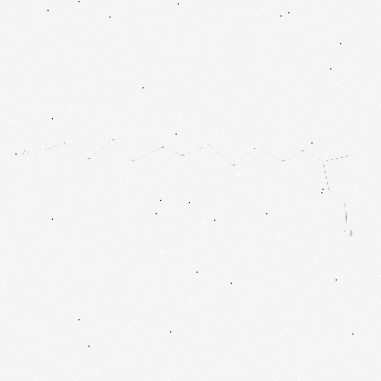 CCCCCCCCCCCCCCCCCCCCC(C)CCN